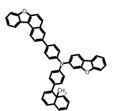 CC12C=CC=CC1C=CC=C2c1ccc(N(c2ccc(-c3ccc4c(ccc5oc6ccccc6c54)c3)cc2)c2ccc3c(c2)oc2ccccc23)cc1